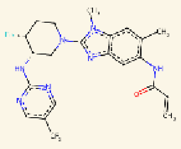 C=CC(=O)Nc1cc2nc(N3CC[C@@H](F)[C@@H](Nc4ncc(C(F)(F)F)cn4)C3)n(C)c2cc1C